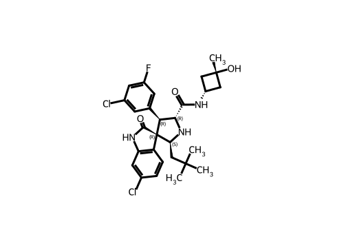 CC(C)(C)C[C@@H]1N[C@@H](C(=O)N[C@H]2C[C@@](C)(O)C2)[C@H](c2cc(F)cc(Cl)c2)[C@]12C(=O)Nc1cc(Cl)ccc12